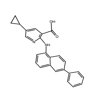 O=C(O)c1cc(C2CC2)cnc1Nc1cccc2cc(-c3ccccc3)ccc12